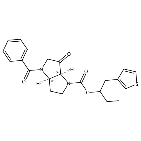 CCC(Cc1ccsc1)OC(=O)N1CC[C@@H]2[C@H]1C(=O)CN2C(=O)c1ccccc1